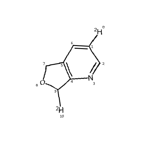 [2H]c1cnc2c(c1)COC2[2H]